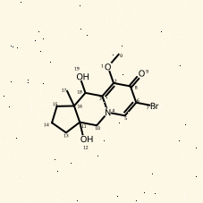 COc1c2n(cc(Br)c1=O)CC1(O)CCCC1(C)C2O